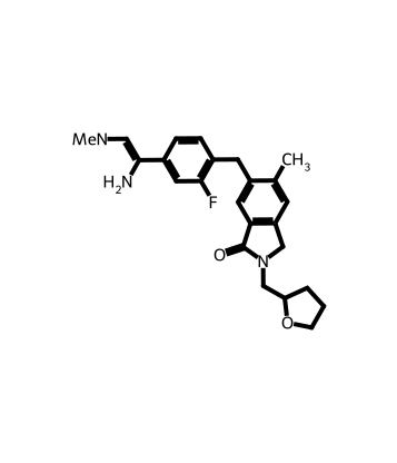 CN/C=C(\N)c1ccc(Cc2cc3c(cc2C)CN(CC2CCCO2)C3=O)c(F)c1